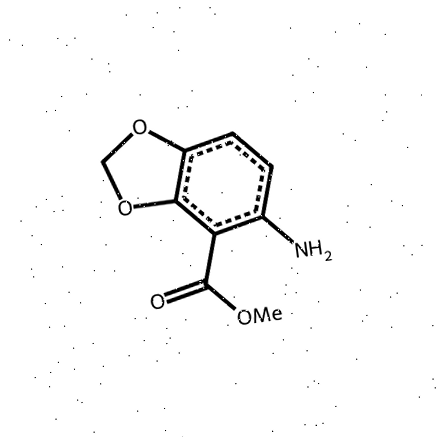 COC(=O)c1c(N)ccc2c1OCO2